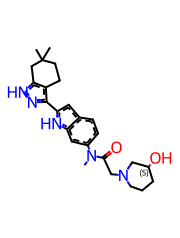 CN(C(=O)CN1CCC[C@H](O)C1)c1ccc2cc(-c3n[nH]c4c3CCC(C)(C)C4)[nH]c2c1